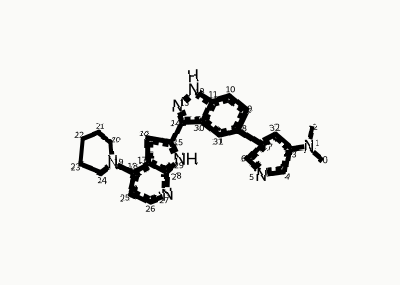 CN(C)c1cncc(-c2ccc3[nH]nc(-c4cc5c(N6CCCCC6)ccnc5[nH]4)c3c2)c1